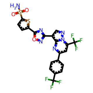 NS(=O)(=O)c1ccc(-c2nc(-c3cnn4c(C(F)(F)F)cc(-c5ccc(C(F)(F)F)cc5)nc34)no2)s1